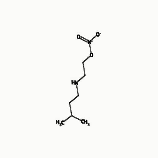 CC(C)CCNCCO[N+](=O)[O-]